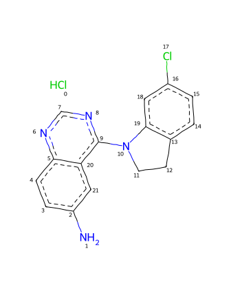 Cl.Nc1ccc2ncnc(N3CCc4ccc(Cl)cc43)c2c1